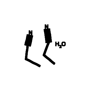 CCC#N.CCC#N.O